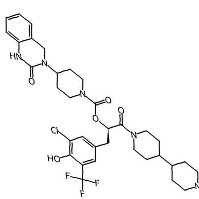 CN1CCC(C2CCN(C(=O)[C@@H](Cc3cc(Cl)c(O)c(C(F)(F)F)c3)OC(=O)N3CCC(N4Cc5ccccc5NC4=O)CC3)CC2)CC1